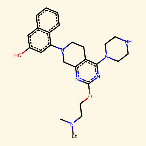 CCN(C)CCOc1nc2c(c(N3CCNCC3)n1)CCN(c1cc(O)cc3ccccc13)C2